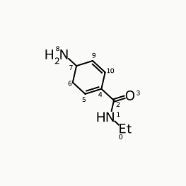 CCNC(=O)C1=CCC(N)C=C1